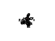 CCOc1ccc2c(C(=O)N[C@H](c3ccccc3)C(F)(F)F)c(CN3CCC(N4CCOCC4)CC3)c(-c3cccc(C(F)(F)F)c3)nc2c1S(=O)(=O)CC